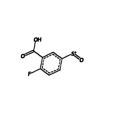 O=[S+]c1ccc(F)c(C(=O)O)c1